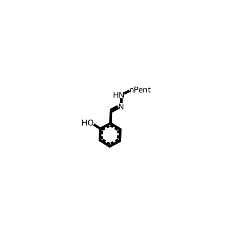 CCCCCN/N=C/c1ccccc1O